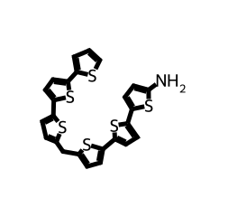 Nc1ccc(-c2ccc(-c3ccc(Cc4ccc(-c5ccc(-c6cccs6)s5)s4)s3)s2)s1